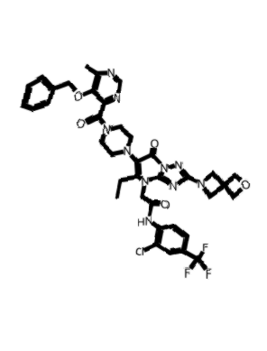 CCc1c(N2CCN(C(=O)c3ncnc(C)c3OCc3ccccc3)CC2)c(=O)n2nc(N3CC4(COC4)C3)nc2n1CC(=O)Nc1ccc(C(F)(F)F)cc1Cl